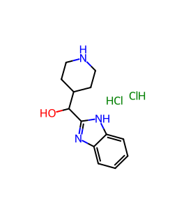 Cl.Cl.OC(c1nc2ccccc2[nH]1)C1CCNCC1